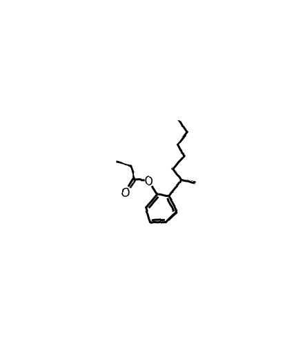 CCCCCC(C)c1ccccc1OC(=O)CC